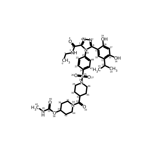 CCNC(=O)c1nnc(-c2cc(C(C)C)c(O)cc2O)n1-c1ccc(S(=O)(=O)N2CCC(C(=O)N3CCC(OC(=O)NC)CC3)CC2)cc1